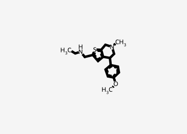 CCNCc1cc2c(s1)CN(C)CC2c1ccc(OC)cc1